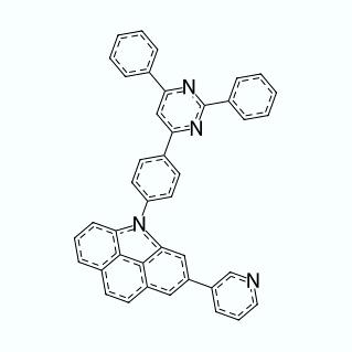 c1ccc(-c2cc(-c3ccc(-n4c5cccc6ccc7cc(-c8cccnc8)cc4c7c65)cc3)nc(-c3ccccc3)n2)cc1